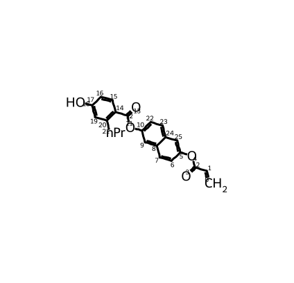 C=CC(=O)Oc1ccc2cc(OC(=O)c3ccc(O)cc3CCC)ccc2c1